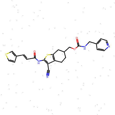 N#Cc1c(NC(=O)C=Cc2ccsc2)sc2c1CCC(COC(=O)NCc1ccncc1)C2